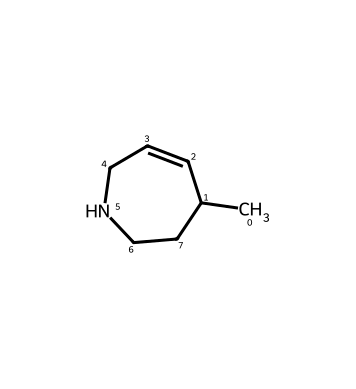 CC1C=CCNCC1